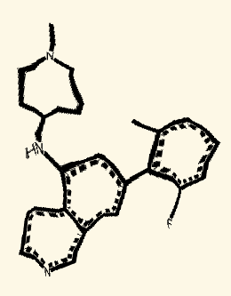 Cc1cccc(F)c1-c1cc(NC2CCN(C)CC2)c2ccncc2c1